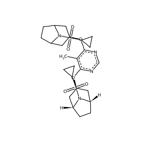 Cc1c(OC2CC3CCC(C2)N3S(=O)(=O)C2CC2)ncnc1O[C@@H]1C[C@H]2CC[C@@H](C1)N2S(=O)(=O)C1CC1